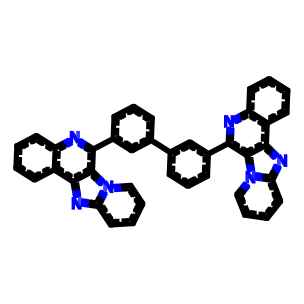 c1cc(-c2cccc(-c3nc4ccccc4c4nc5ccccn5c34)c2)cc(-c2nc3ccccc3c3nc4ccccn4c23)c1